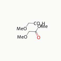 COCC(=O)O.COCC(=O)OC